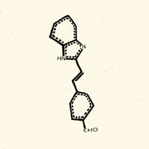 O=Cc1ccc(/C=C/c2nc3ccccc3[nH]2)cc1